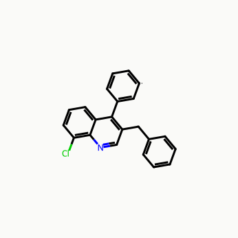 Clc1cccc2c(-c3c[c]ccc3)c(Cc3ccccc3)cnc12